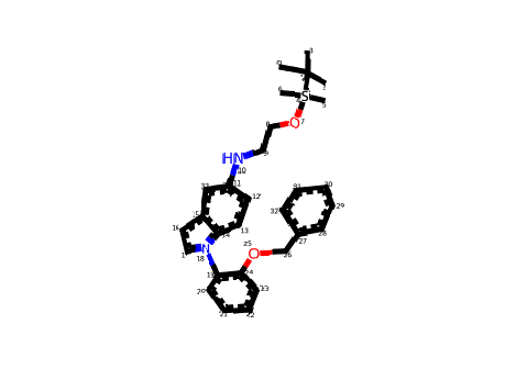 CC(C)(C)[Si](C)(C)OCCNc1ccc2c(ccn2-c2ccccc2OCc2ccccc2)c1